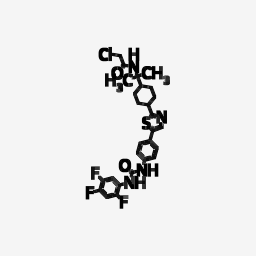 CC(C)(NC(=O)CCl)C1CCC(c2ncc(-c3ccc(NC(=O)Nc4cc(F)c(F)cc4F)cc3)s2)CC1